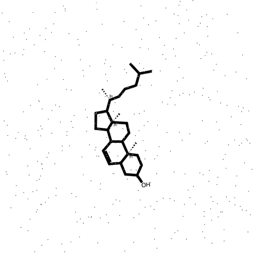 CC(C)CCC[C@@H](C)C1CCC2C3C=CC4CC(O)CC[C@]4(C)C3CC[C@@]21C